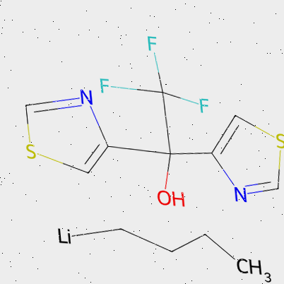 OC(c1cscn1)(c1cscn1)C(F)(F)F.[Li][CH2]CCC